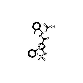 Cc1ccccc1[C@H](CC(=O)O)NC(=O)c1cc(NS(C)(=O)=O)n(-c2ccccc2)n1